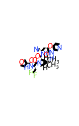 CC1(C)[C@@H]2[C@@H](C(=O)N[C@H](C#N)C[C@@H]3Oc4ccncc4NC3=O)N(C(=O)[C@H](CC(F)F)NC(=O)[C@H]3CCOC3)C[C@@H]21